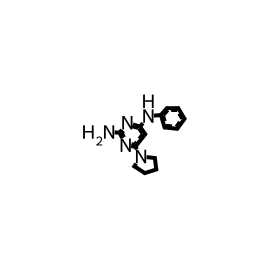 Nc1nc(Nc2ccccc2)cc(N2CCCC2)n1